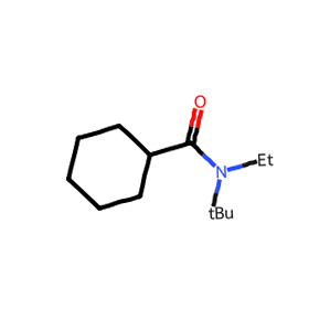 CCN(C(=O)C1CCCCC1)C(C)(C)C